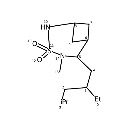 CCC(CC(C)C)CC1C2CC(C2)NS(=O)(=O)N1C